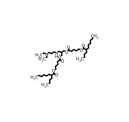 CCCCCCC(CCCC)C(=O)OCCCCC(=O)OCC(CNCCCN(CC)CC)COC(=O)CCCCOC(=O)C(CCCC)CCCCCC